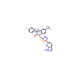 O=C(Nc1ccc(F)cc1)C(Cc1nnc(-c2ccc3cc[nH]c3n2)o1)c1ccc(C(F)(F)F)cc1C(F)(F)F